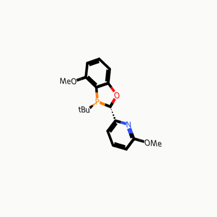 COc1cccc([C@H]2Oc3cccc(OC)c3[P@]2C(C)(C)C)n1